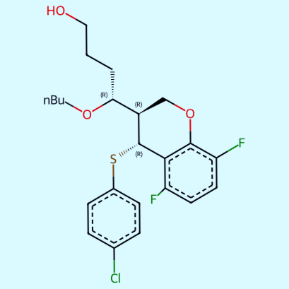 CCCCO[C@H](CCCO)[C@H]1COc2c(F)ccc(F)c2[C@@H]1Sc1ccc(Cl)cc1